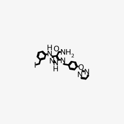 NC(=O)c1c(Nc2cccc(CI)c2)n[nH]c1/N=C/c1ccc(Oc2ncccn2)cc1